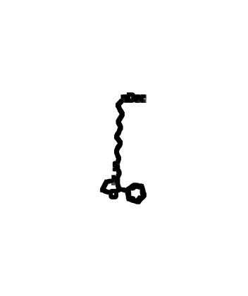 CCCCCCCCCCCCCCCCCCSCN1CCOC1c1ccccc1